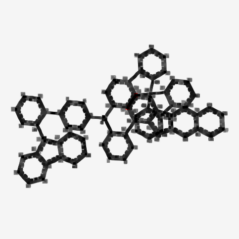 c1ccc(N(c2ccc(-c3ccccc3-n3c4ccccc4c4ccccc43)cc2)c2ccc3c(c2)C2(c4ccccc4-c4ccccc42)c2ccccc2-3)c(-c2cccc3c2oc2cc4ccccc4cc23)c1